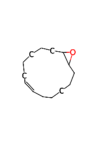 C1=CCCCCCC2OC2CCCCC1